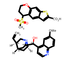 C=C[C@H]1CN2CC[C@H]1C[C@@H]2[C@@H](O)c1ccnc2ccc(OC)cc12.CS(=O)(=O)C1CCOc2cc3sc(C(=O)O)cc3cc21